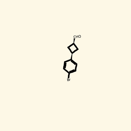 O=C[C@H]1C[C@@H](c2ccc(Br)cc2)C1